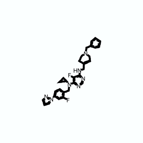 Fc1cc(-n2cccn2)ccc1CN(c1ncnc(NCC2=CCN(Cc3ccccc3)CC2)c1F)C1CC1